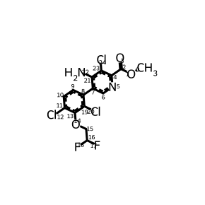 COC(=O)c1ncc(-c2ccc(Cl)c(OCC(F)F)c2Cl)c(N)c1Cl